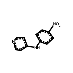 O=[N+]([O-])c1ccc(Nc2ccncc2)cc1